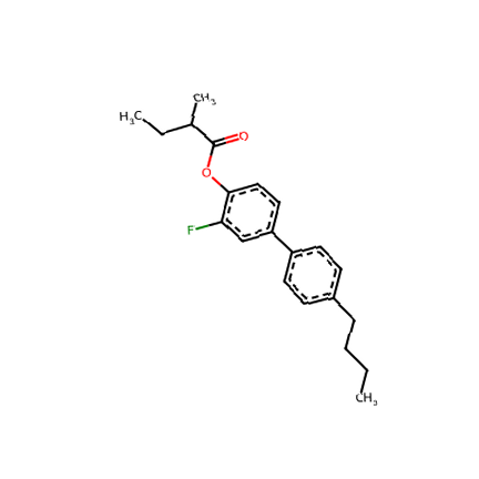 CCCCc1ccc(-c2ccc(OC(=O)C(C)CC)c(F)c2)cc1